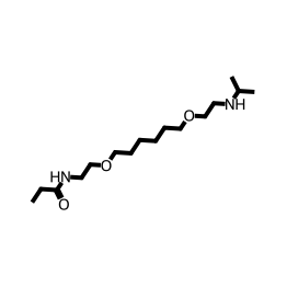 CCC(=O)NCCOCCCCCCOCCNC(C)C